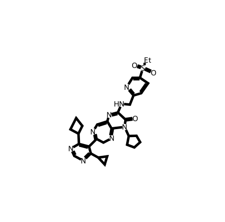 CCS(=O)(=O)c1ccc(CNc2nc3c(n(C4CCCC4)c2=O)=NCC(c2c(C4CCC4)ncnc2C2CC2)=NC=3)nc1